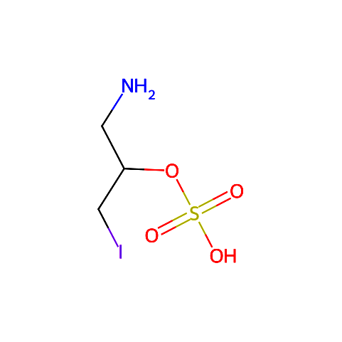 NCC(CI)OS(=O)(=O)O